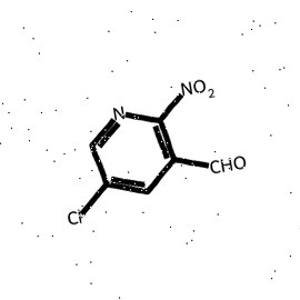 O=Cc1cc(Cl)cnc1[N+](=O)[O-]